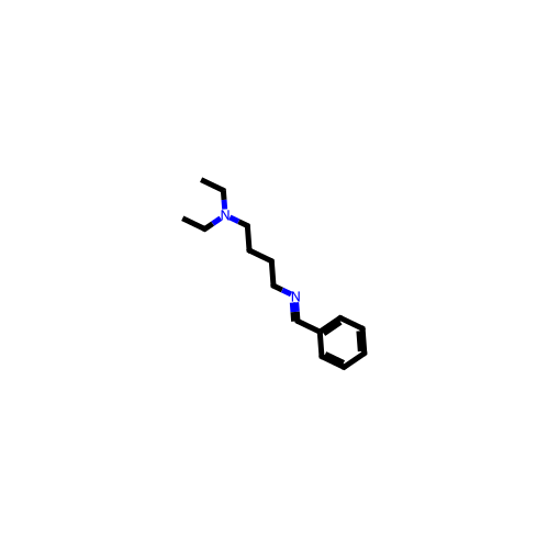 CCN(CC)CCCCN=Cc1ccccc1